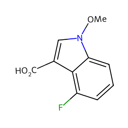 COn1cc(C(=O)O)c2c(F)cccc21